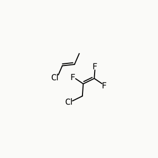 CC=CCl.FC(F)=C(F)CCl